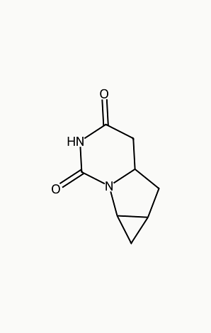 O=C1CC2CC3CC3N2C(=O)N1